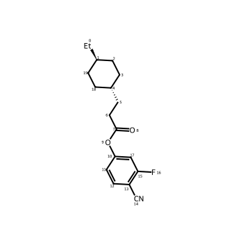 CC[C@H]1CC[C@H](CCC(=O)Oc2ccc(C#N)c(F)c2)CC1